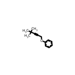 CC(C)(C)C#CCOc1ccccc1